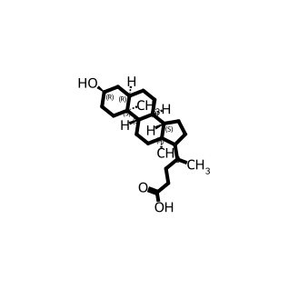 CC(CCC(=O)O)C1CC[C@H]2[C@@H]3CC[C@@H]4C[C@H](O)CC[C@]4(C)[C@H]3CC[C@]12C